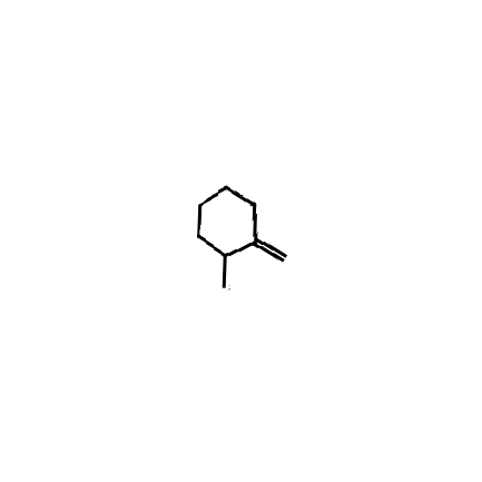 [CH]C1CCCCC1=C